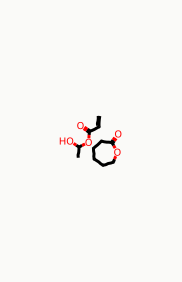 C=CC(=O)OC(C)O.O=C1CCCCCO1